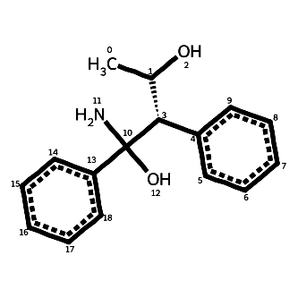 CC(O)[C@H](c1ccccc1)C(N)(O)c1ccccc1